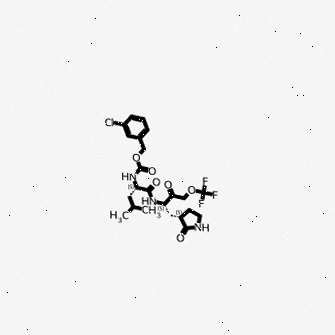 CC(C)C[C@H](NC(=O)OCc1cccc(Cl)c1)C(=O)N[C@@H](C[C@@H]1CCNC1=O)C(=O)COC(F)(F)F